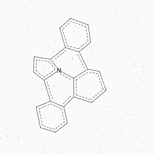 c1ccc2c(c1)c1cccc3c4ccccc4c4ccc2n4c13